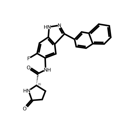 O=C1CC[C@@H](C(=O)Nc2cc3c(-c4ccc5ccccc5c4)n[nH]c3cc2F)N1